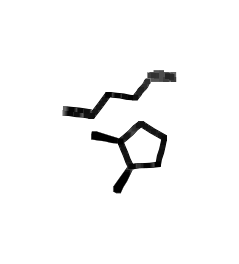 C=CCCCCCCCC.C[C@@H]1CCC[C@@H]1C